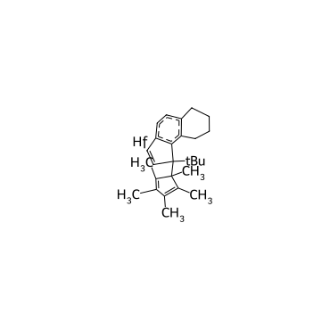 CC1=C(C)C(C)(C2(C(C)(C)C)C=Cc3ccc4c(c32)CCCC4)C(C)=C1C.[Hf]